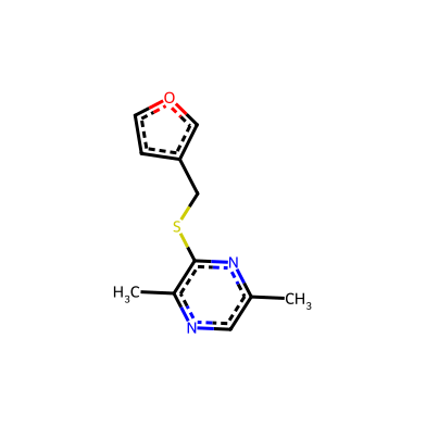 Cc1cnc(C)c(SCc2ccoc2)n1